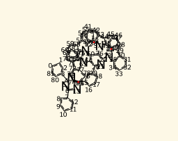 c1ccc(-c2nc(-c3ccccc3)nc(-c3cccc(-c4nc(-n5c6ccccc6c6ccccc65)c(-n5c6ccccc6c6ccccc65)c(-n5c6ccccc6c6ccccc65)c4-n4c5ccccc5c5ccccc54)c3)n2)cc1